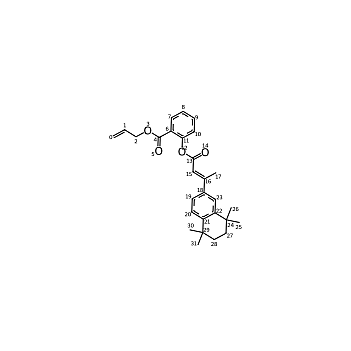 C=CCOC(=O)c1ccccc1OC(=O)C=C(C)c1ccc2c(c1)C(C)(C)CCC2(C)C